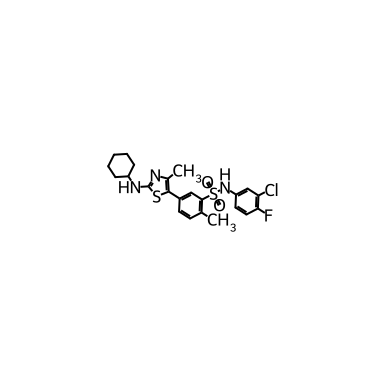 Cc1ccc(-c2sc(NC3CCCCC3)nc2C)cc1S(=O)(=O)Nc1ccc(F)c(Cl)c1